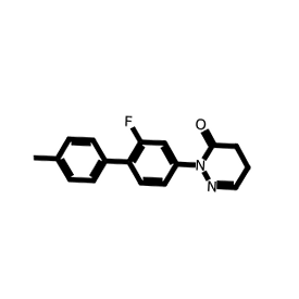 Cc1ccc(-c2ccc(N3N=CCCC3=O)cc2F)cc1